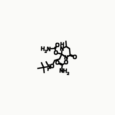 CC1CC(=O)N(OC(N)=O)C(CCO[Si](C)(C)C(C)(C)C)(OC(N)=O)N1